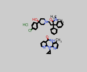 CN(C)C(=O)C(CCN1CCC(O)(c2ccc(Cl)cc2)CC1)(c1ccccc1)c1ccccc1.Cc1ccnc2c1NC(=O)c1cccnc1N2C1CC1.Cl